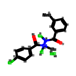 COc1cccc(C(=O)N(Cl)[N+](Cl)(C(=O)c2ccc(Cl)cc2)C(C)(C)C)c1.Cl